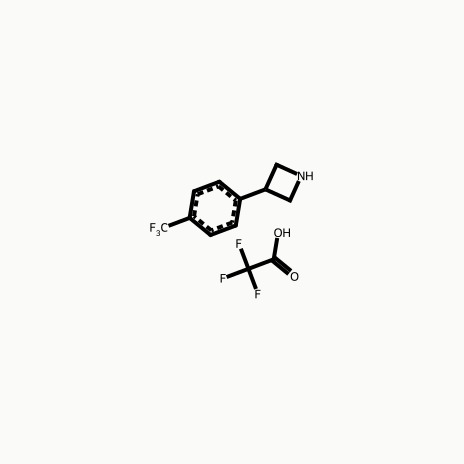 FC(F)(F)c1ccc(C2CNC2)cc1.O=C(O)C(F)(F)F